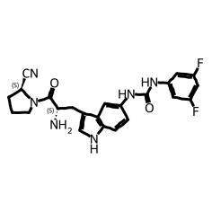 N#C[C@@H]1CCCN1C(=O)[C@@H](N)Cc1c[nH]c2ccc(NC(=O)Nc3cc(F)cc(F)c3)cc12